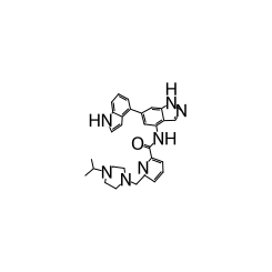 CC(C)N1CCN(Cc2cccc(C(=O)Nc3cc(-c4cccc5[nH]ccc45)cc4[nH]ncc34)n2)CC1